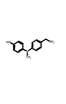 CN(c1ccc(O)cc1)c1ccc(CN)cc1